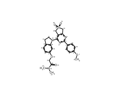 COc1ccc(-c2nc3c(c(N4CCc5ccc(OCC(=O)N(C)C)cc54)n2)CS(=O)(=O)C3)cc1